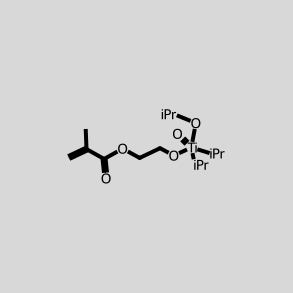 C=C(C)C(=O)OCC[O][Ti](=[O])([O]C(C)C)([CH](C)C)[CH](C)C